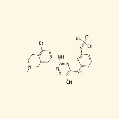 CCc1cc(Nc2ncc(C#N)c(Nc3cccc(N=S(=O)(CC)CC)n3)n2)cc2c1CCN(C)C2